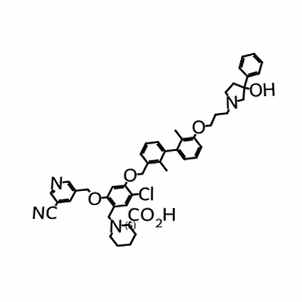 Cc1c(COc2cc(OCc3cncc(C#N)c3)c(CN3CCCC[C@H]3C(=O)O)cc2Cl)cccc1-c1cccc(OCCCN2CCC(O)(c3ccccc3)C2)c1C